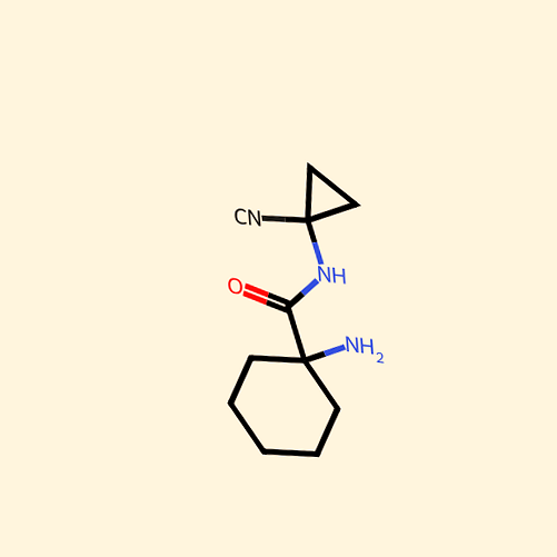 [C-]#[N+]C1(NC(=O)C2(N)CCCCC2)CC1